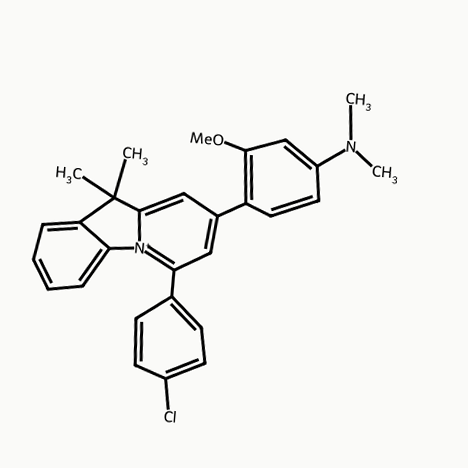 COc1cc(N(C)C)ccc1-c1cc(-c2ccc(Cl)cc2)[n+]2c(c1)C(C)(C)c1ccccc1-2